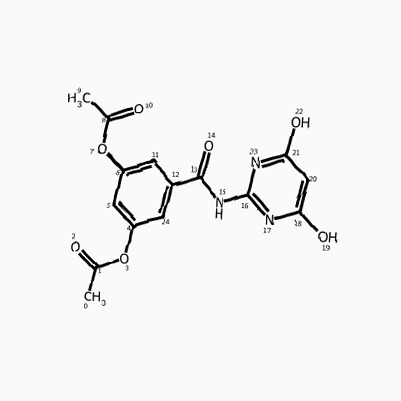 CC(=O)Oc1cc(OC(C)=O)cc(C(=O)Nc2nc(O)cc(O)n2)c1